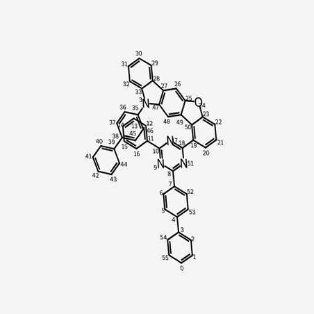 c1ccc(-c2ccc(-c3nc(-c4ccccc4)nc(-c4cccc5oc6cc7c8ccccc8n(-c8ccc(-c9ccccc9)cc8)c7cc6c45)n3)cc2)cc1